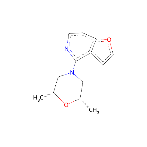 C[C@@H]1CN(c2nccc3occc23)C[C@H](C)O1